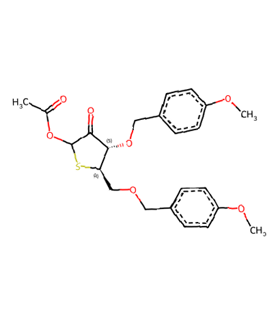 COc1ccc(COC[C@H]2SC(OC(C)=O)C(=O)[C@@H]2OCc2ccc(OC)cc2)cc1